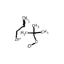 C=C[CH2][Zn+].CC(C)(C)O[O-]